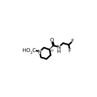 O=C(NCC(F)F)[C@H]1CCCN(C(=O)O)C1